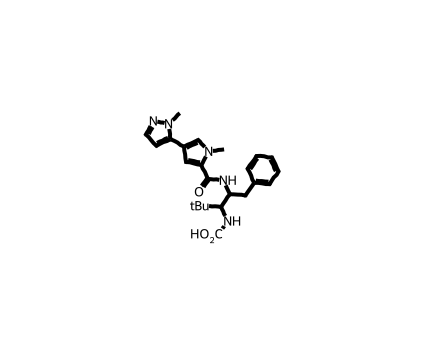 Cn1cc(-c2ccnn2C)cc1C(=O)NC(Cc1ccccc1)C(NC(=O)O)C(C)(C)C